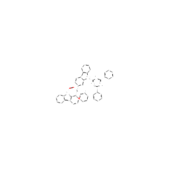 c1ccc(-c2nc(-c3ccccc3)nc(-n3c4ccccc4c4ccc5c(c43)Oc3ccccc3C53c4ccccc4-n4c5ccccc5c5cccc3c54)n2)cc1